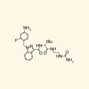 CC(C)(C)C(NC(=O)c1nn(Cc2ccc(N)cc2F)c2ccccc12)C(=O)NCCNC(N)=O